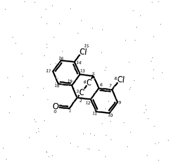 O=CC12CCC(c3c(Cl)cccc31)c1c(Cl)cccc12